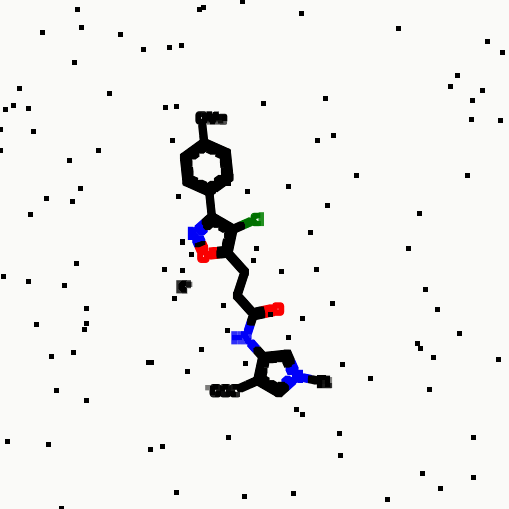 CCn1cc(NC(=O)CCc2onc(-c3ccc(OC)cc3)c2Cl)c(C(=O)[O-])c1.[K+]